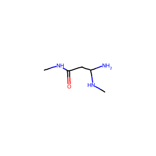 CNC(=O)CC(N)NC